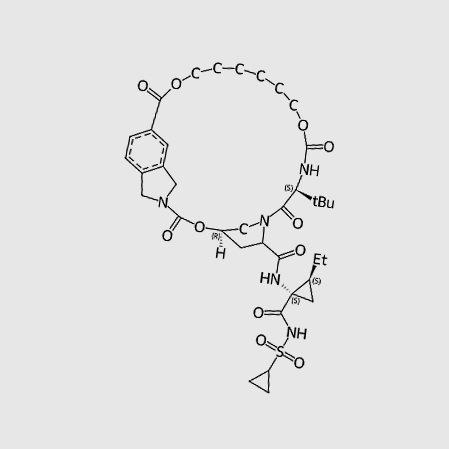 CC[C@H]1C[C@@]1(NC(=O)C1C[C@@H]2CN1C(=O)[C@H](C(C)(C)C)NC(=O)OCCCCCCOC(=O)c1ccc3c(c1)CN(C3)C(=O)O2)C(=O)NS(=O)(=O)C1CC1